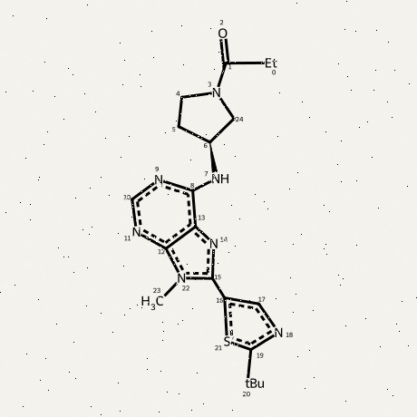 CCC(=O)N1CC[C@H](Nc2ncnc3c2nc(-c2cnc(C(C)(C)C)s2)n3C)C1